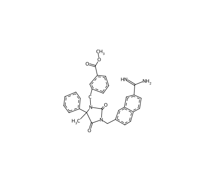 COC(=O)c1cccc(CN2C(=O)N(Cc3ccc4ccc(C(=N)N)cc4c3)C(=O)C2(C)c2ccccc2)c1